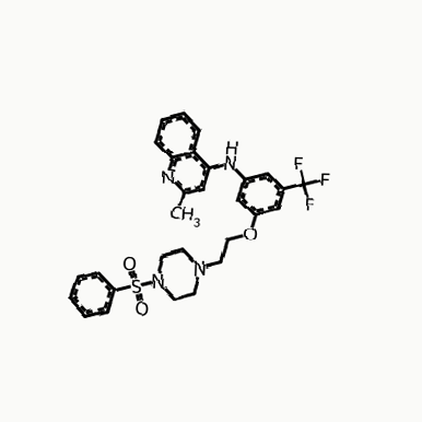 Cc1cc(Nc2cc(OCCN3CCN(S(=O)(=O)c4ccccc4)CC3)cc(C(F)(F)F)c2)c2ccccc2n1